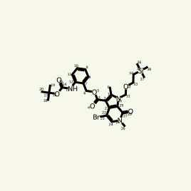 Cc1c(C(=O)OCc2ccccc2NC(=O)OC(C)(C)C)c2c(Br)cn(C)c(=O)c2n1COCC[Si](C)(C)C